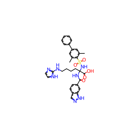 Cc1cc(-c2ccccc2)cc(C)c1S(=O)(=O)NC(CCCCNc1ncc[nH]1)(NC(=O)c1ccc2cn[nH]c2c1)C(=O)O